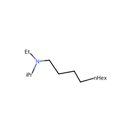 CCCCCCCCCCN(CC)C(C)C